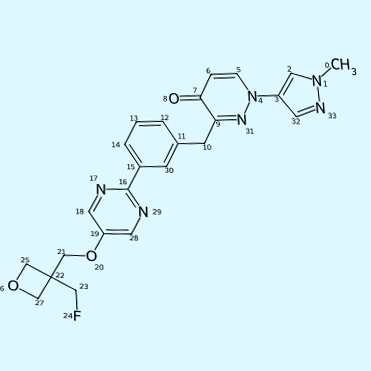 Cn1cc(-n2ccc(=O)c(Cc3cccc(-c4ncc(OCC5(CF)COC5)cn4)c3)n2)cn1